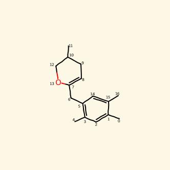 Cc1cc(C)c(CC2=CCC(C)CO2)cc1C